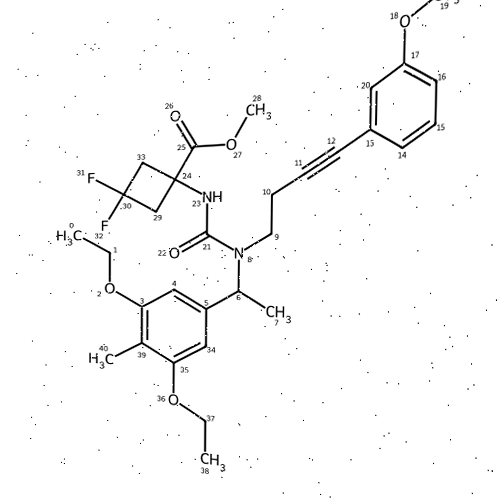 CCOc1cc(C(C)N(CCC#Cc2cccc(OC)c2)C(=O)NC2(C(=O)OC)CC(F)(F)C2)cc(OCC)c1C